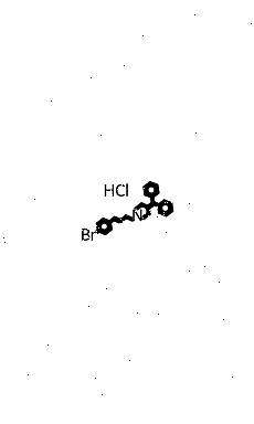 Brc1ccc(/C=C/CCN2CCC(=C(c3ccccc3)c3ccccc3)CC2)cc1.Cl